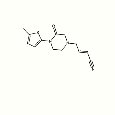 Cc1ccc(N2CCN(C/C=C/C#N)CC2=O)s1